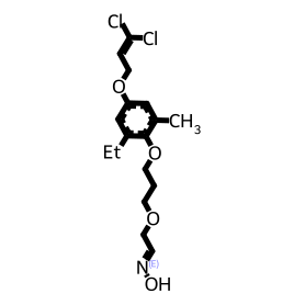 CCc1cc(OCC=C(Cl)Cl)cc(C)c1OCCCOC/C=N/O